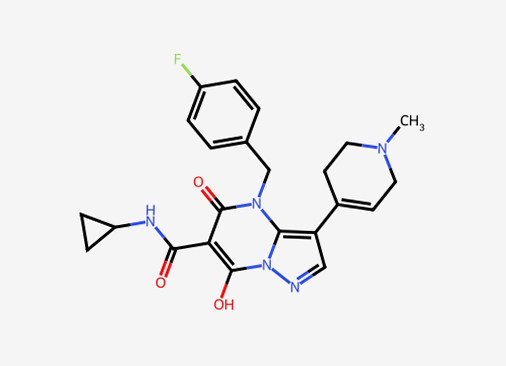 CN1CC=C(c2cnn3c(O)c(C(=O)NC4CC4)c(=O)n(Cc4ccc(F)cc4)c23)CC1